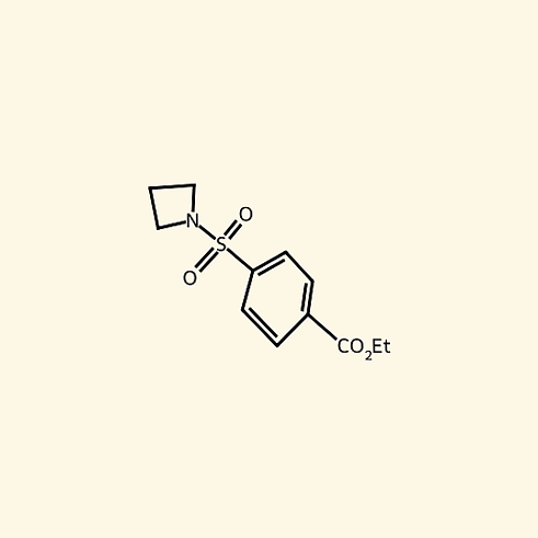 CCOC(=O)c1ccc(S(=O)(=O)N2CCC2)cc1